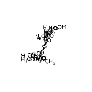 COc1c(C)cnc(C[S+]([O-])c2nc3cc(C)ccc3n2C(=O)OCCSSCCOC(=O)C2N3C(=O)[C@@H](NC(=O)C(N)c4ccc(O)cc4)[C@H]3SC2(C)C)c1C